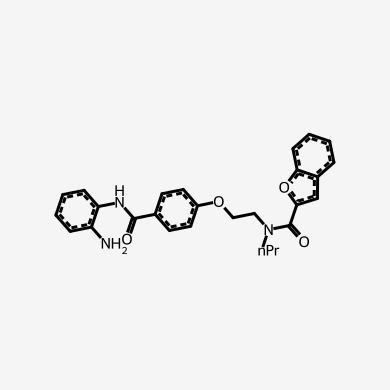 CCCN(CCOc1ccc(C(=O)Nc2ccccc2N)cc1)C(=O)c1cc2ccccc2o1